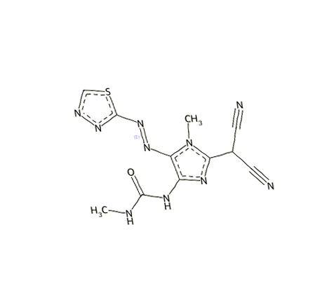 CNC(=O)Nc1nc(C(C#N)C#N)n(C)c1/N=N/c1nncs1